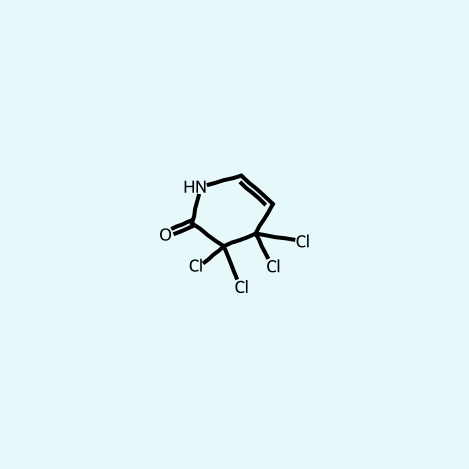 O=C1NC=CC(Cl)(Cl)C1(Cl)Cl